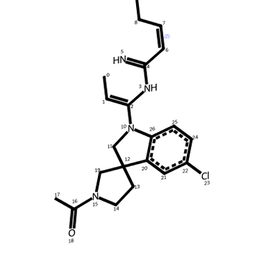 CC=C(NC(=N)/C=C\CC)N1CC2(CCN(C(C)=O)C2)c2cc(Cl)ccc21